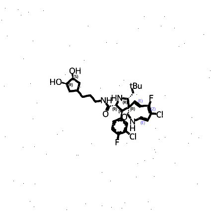 CC(C)(C)C[C@H]1N[C@@H](C(=O)NCCCC2C[C@@H](O)[C@@H](O)C2)[C@H](c2ccc(F)c(Cl)c2)[C@]12/C=C/C(F)=C(Cl)\C=C\NC2=O